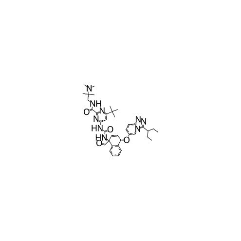 CCC(CC)c1nnc2ccc(O[C@@H]3C=C[C@](C=O)(NC(=O)Nc4cc(C(C)(C)C)nc(C(=O)NCC(C)(C)N(C)C)n4)c4ccccc43)cn12